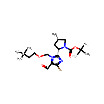 C[C@H]1C[C@@H](c2nc(Br)c(C=O)n2COCC[Si](C)(C)C)N(C(=O)OC(C)(C)C)C1